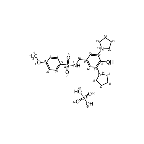 COc1ccc(S(=O)(=O)NCc2cc(N3CCCC3)c(O)c(N3CCCC3)c2)cc1.O=S(=O)(O)O